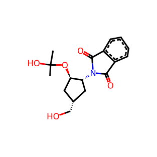 CC(C)(O)O[C@@H]1C[C@@H](CO)C[C@H]1N1C(=O)c2ccccc2C1=O